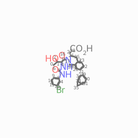 CC(O)C(NC(=O)Nc1cccc(Br)c1)C(=O)N1Cc2ccccc2C[C@@H]1CC(=O)O.c1ccc2c(c1)C2